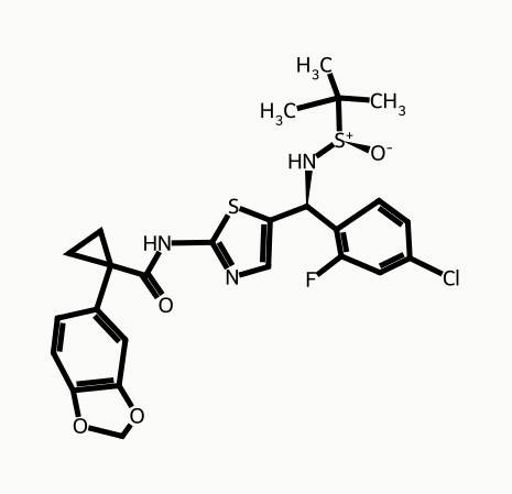 CC(C)(C)[S@@+]([O-])N[C@H](c1cnc(NC(=O)C2(c3ccc4c(c3)OCO4)CC2)s1)c1ccc(Cl)cc1F